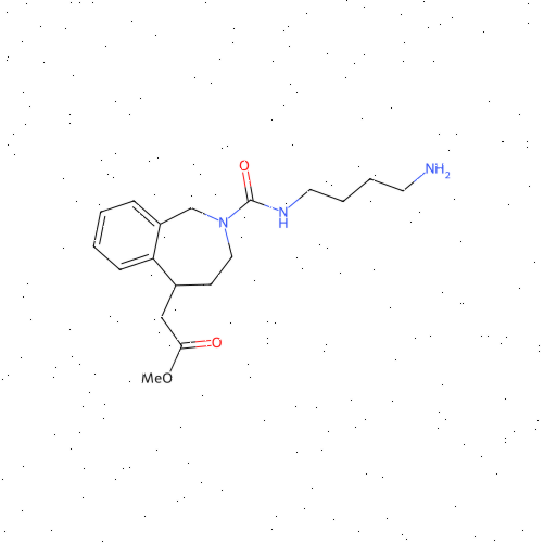 COC(=O)CC1CCN(C(=O)NCCCCN)Cc2ccccc21